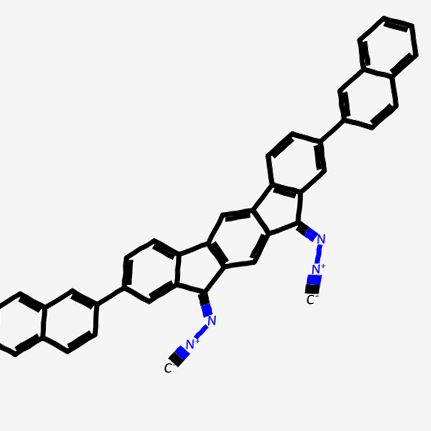 [C-]#[N+]/N=c1/c2cc(-c3ccc4ccccc4c3)ccc2c2cc3c(cc12)/c(=N/[N+]#[C-])c1cc(-c2ccc4ccccc4c2)ccc13